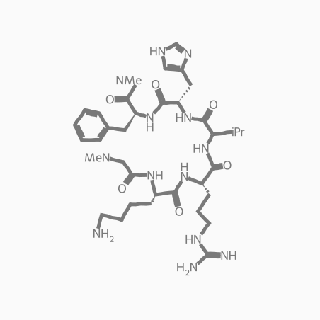 CNCC(=O)N[C@@H](CCCCN)C(=O)N[C@@H](CCCNC(=N)N)C(=O)NC(C(=O)N[C@@H](Cc1c[nH]cn1)C(=O)N[C@@H](Cc1ccccc1)C(=O)NC)C(C)C